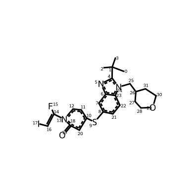 CC(C)(C)c1nc2cc(Sc3ccn(/C(F)=C/I)c(=O)c3)ccc2n1CC1CCOCC1